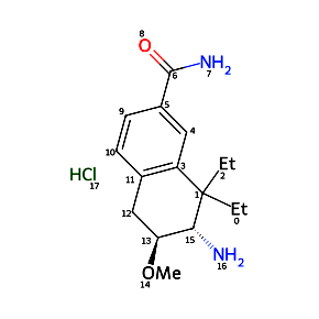 CCC1(CC)c2cc(C(N)=O)ccc2C[C@H](OC)[C@H]1N.Cl